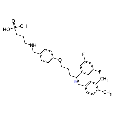 Cc1ccc(/C=C(/CCCOc2ccc(CNCCCP(=O)(O)O)cc2)c2cc(F)cc(F)c2)cc1C